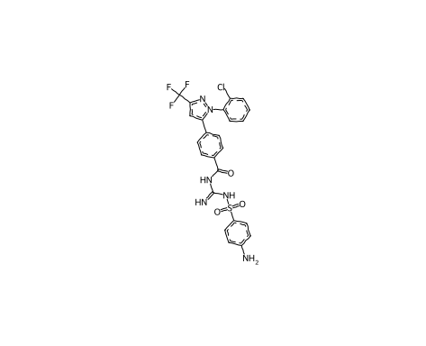 N=C(NC(=O)c1ccc(-c2cc(C(F)(F)F)nn2-c2ccccc2Cl)cc1)NS(=O)(=O)c1ccc(N)cc1